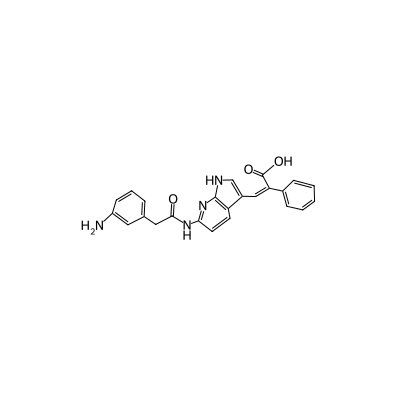 Nc1cccc(CC(=O)Nc2ccc3c(C=C(C(=O)O)c4ccccc4)c[nH]c3n2)c1